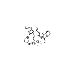 CNc1nc(N2CCCC(N)C2)n(CC=C(C)C)c1C(=O)N/C=C1\NC(=O)c2ccccc21